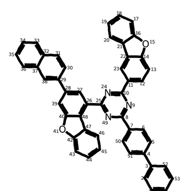 c1ccc(-c2ccc(-c3nc(-c4ccc5oc6ccccc6c5c4)nc(-c4cc(-c5ccc6ccccc6c5)cc5oc6ccccc6c45)n3)cc2)cc1